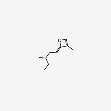 CCC(C)CC=C1OC=C1C